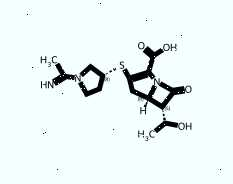 CC(=N)N1CC[C@@H](SC2=C(C(=O)O)N3C(=O)[C@H](C(C)O)[C@H]3C2)C1